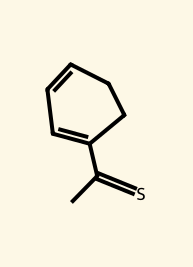 CC(=S)C1=CC=CCC1